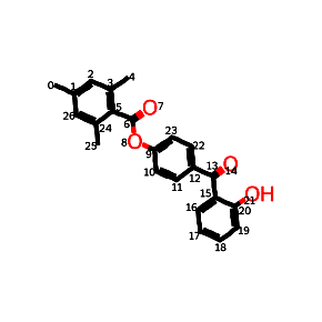 Cc1cc(C)c(C(=O)Oc2ccc(C(=O)c3ccccc3O)cc2)c(C)c1